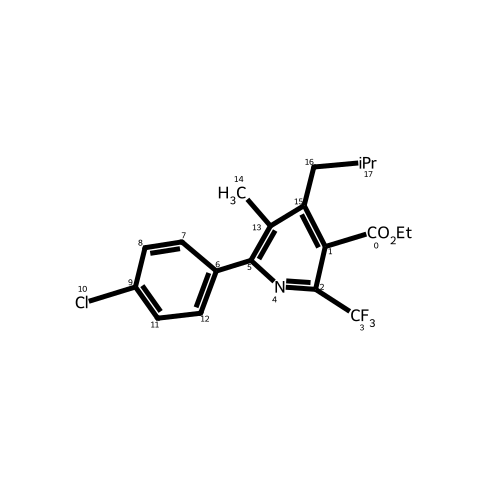 CCOC(=O)c1c(C(F)(F)F)nc(-c2ccc(Cl)cc2)c(C)c1CC(C)C